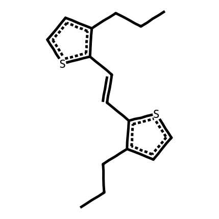 CCCc1ccsc1C=Cc1sccc1CCC